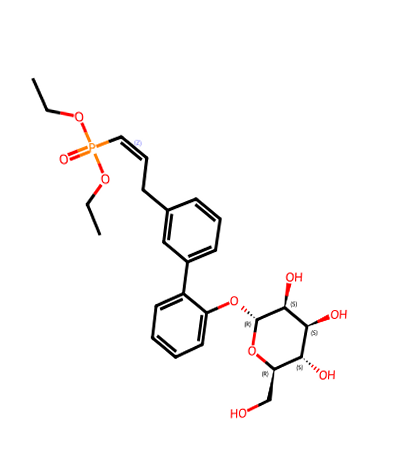 CCOP(=O)(/C=C\Cc1cccc(-c2ccccc2O[C@H]2O[C@H](CO)[C@@H](O)[C@H](O)[C@@H]2O)c1)OCC